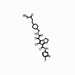 CC(C)(C)OC(=O)CCC1CCC(CNC(=O)C(=O)c2c(Cl)c(C(=O)Nc3ccc(F)c(F)c3)c3n2CCC3)CC1